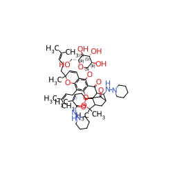 CC(C)=CCCC1(C)C=Cc2c(c(CC=C(C)C)c3c(c2O[C@@H]2O[C@H](CO)[C@@H](O)[C@H](O)[C@H]2O)C(=O)C2C(NN4CCCCC4)C4CC5C(C)(C)OC(C/C=C(/C)C(=O)NN6CCCCC6)(C4=O)C25O3)O1